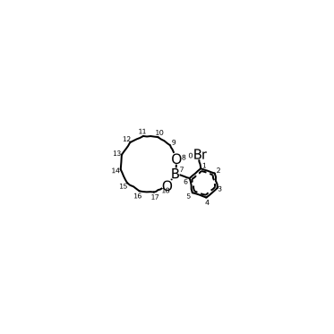 Brc1ccccc1B1OCCCCCCCCCO1